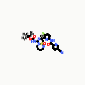 CC(C)(C)OC(=O)NC1=N[C@](C)(c2nc(NC(=O)c3ccc(C#N)cn3)ccc2F)C[S@@]2(=O)=NCCCCN12